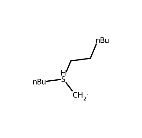 [CH2][SH](CCCC)CCCCCC